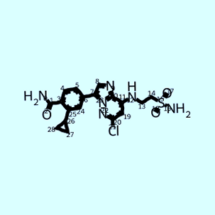 NC(=O)c1ccc(-c2cnc3c(NCCS(N)(=O)=O)cc(Cl)nn23)cc1C1CC1